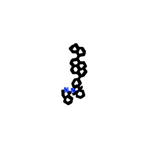 CC12CCCCC1(C)N(c1nccc3ccccc13)c1ccc(-c3ccc4ccc5c(-c6cccc7ccccc67)ccc6ccc3c4c65)cc12